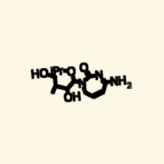 CC(C)OC(C(O)C(C)CO)N1CC=CC(N)=NC1=O